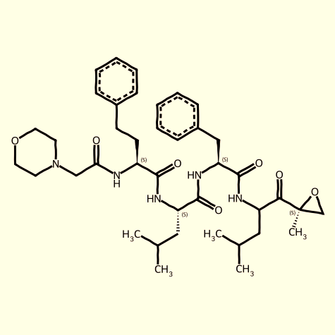 CC(C)CC(NC(=O)[C@H](Cc1ccccc1)NC(=O)[C@H](CC(C)C)NC(=O)[C@H](CCc1ccccc1)NC(=O)CN1CCOCC1)C(=O)[C@]1(C)CO1